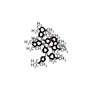 Cc1cc2c(cc1N1c3cc4c(cc3B3c5ccc(N(c6ccc(C(C)(C)C)cc6)c6ccc(C(C)(C)C)cc6)cc5N(c5ccc(C(C)(C)C)c6c5-c5ccccc5C6(C)C)c5cc(C(C)(C)C)cc1c53)C(C)(C)CC4(C)C)C(C)(C)CCC2(C)C